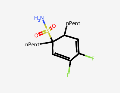 CCCCCC1C=C(F)C(F)=CC1(CCCCC)S(N)(=O)=O